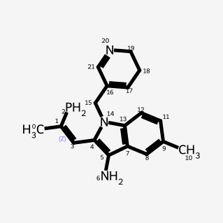 C/C(P)=C/c1c(N)c2cc(C)ccc2n1CC1=CCCN=C1